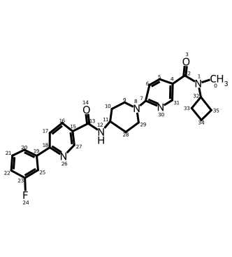 CN(C(=O)c1ccc(N2CCC(NC(=O)c3ccc(-c4cccc(F)c4)nc3)CC2)nc1)C1CCC1